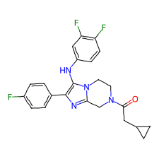 O=C(CC1CC1)N1CCn2c(nc(-c3ccc(F)cc3)c2Nc2ccc(F)c(F)c2)C1